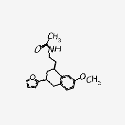 COc1ccc2c(c1)C(CCNC(C)=O)CC(c1ccco1)C2